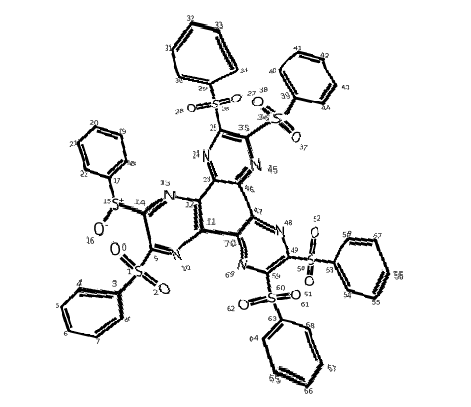 O=S(=O)(c1ccccc1)c1nc2c(nc1[S+]([O-])c1ccccc1)c1nc(S(=O)(=O)c3ccccc3)c(S(=O)(=O)c3ccccc3)nc1c1nc(S(=O)(=O)c3ccccc3)c(S(=O)(=O)c3ccccc3)nc21